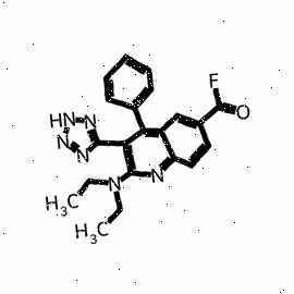 CCN(CC)c1nc2ccc(C(=O)F)cc2c(-c2ccccc2)c1-c1nn[nH]n1